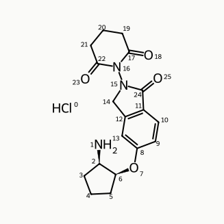 Cl.N[C@@H]1CCC[C@@H]1Oc1ccc2c(c1)CN(N1C(=O)CCCC1=O)C2=O